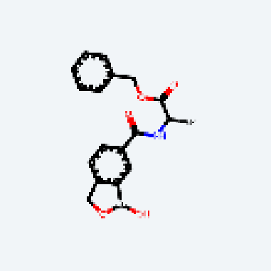 CC(C)C(NC(=O)c1ccc2c(c1)B(O)OC2)C(=O)OCc1ccccc1